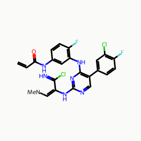 C=CC(=O)Nc1ccc(F)c(Nc2nc(N/C(=C/NC)C(=N)Cl)ncc2-c2ccc(F)c(Cl)c2)c1